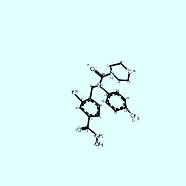 O=C(NO)c1ccc(CN(C(=O)N2CCOCC2)c2ccc(C(F)(F)F)cc2)c(F)c1